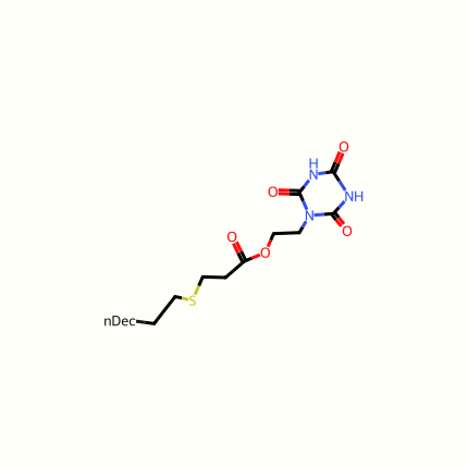 CCCCCCCCCCCCSCCC(=O)OCCn1c(=O)[nH]c(=O)[nH]c1=O